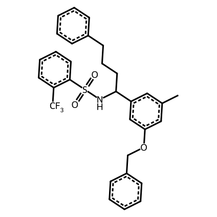 Cc1cc(OCc2ccccc2)cc(C(CCCc2ccccc2)NS(=O)(=O)c2ccccc2C(F)(F)F)c1